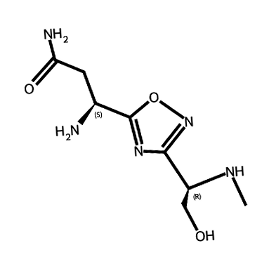 CN[C@@H](CO)c1noc([C@@H](N)CC(N)=O)n1